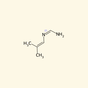 CC(C)=C/N=C\N